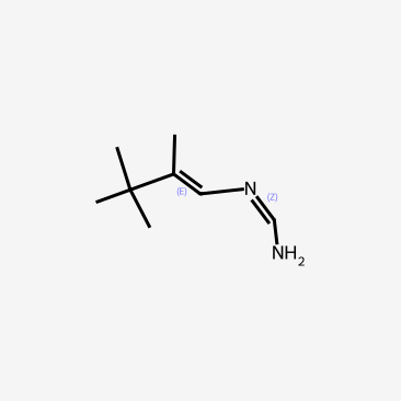 C/C(=C\N=C/N)C(C)(C)C